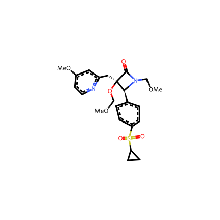 COCO[C@@]1(Cc2cc(OC)ccn2)C(=O)N(COC)[C@H]1c1ccc(S(=O)(=O)C2CC2)cc1